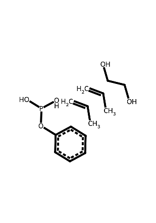 C=CC.C=CC.OCCO.OP(O)Oc1ccccc1